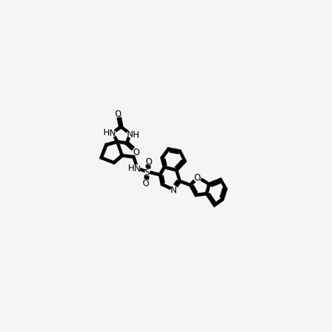 O=C1NC(=O)C2(CCCC2CNS(=O)(=O)c2cnc(-c3cc4ccccc4o3)c3ccccc23)N1